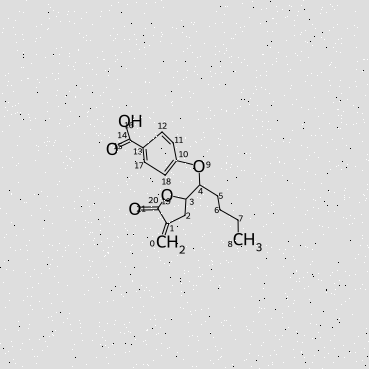 C=C1CC(C(CCCC)Oc2ccc(C(=O)O)cc2)OC1=O